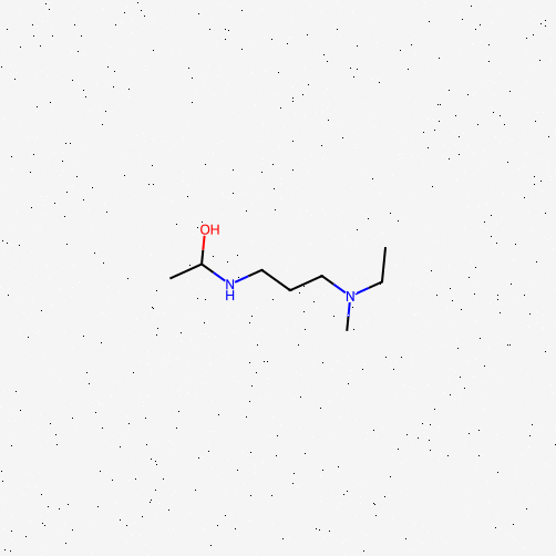 CCN(C)CCCNC(C)O